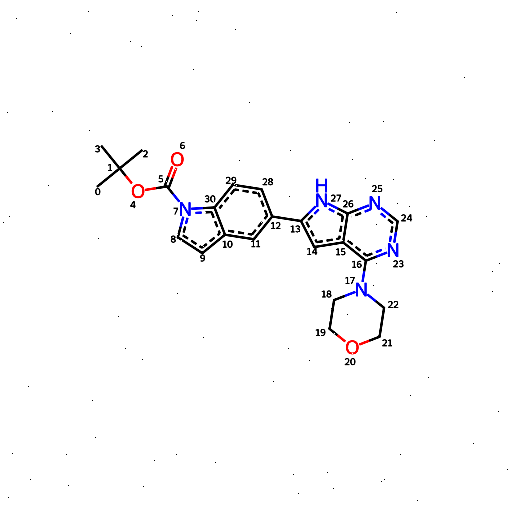 CC(C)(C)OC(=O)n1ccc2cc(-c3cc4c(N5CCOCC5)ncnc4[nH]3)ccc21